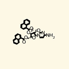 Nc1ccn([C@@H]2O[C@H](COC(=O)c3cccc4ccccc34)C(OC(=O)c3cccc4ccccc34)C2(F)F)c(=O)n1